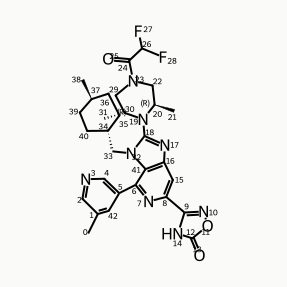 Cc1cncc(-c2nc(-c3noc(=O)[nH]3)cc3nc(N4[C@H](C)CN(C(=O)C(F)F)C[C@H]4C)n(C[C@H]4CC[C@H](C)CC4)c23)c1